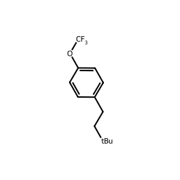 CC(C)(C)CCc1ccc(OC(F)(F)F)cc1